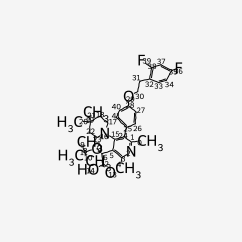 Cc1nc(C)c([C@H](OC(C)(C)C)C(=O)O)c(N2CCC(C)(C)CC2)c1-c1ccc(OCCc2ccc(F)cc2F)cc1